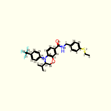 CCSc1ccc(CNC(=O)c2ccc3c(c2)OCC(C(C)C)N3c2ccc(C(F)(F)F)cc2)cc1